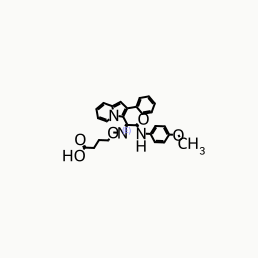 COc1ccc(NC(=O)/C(=N/OCCCC(=O)O)c2c(-c3ccccc3)cc3ccccn23)cc1